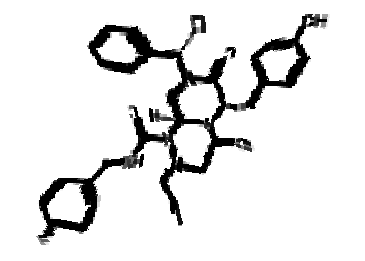 O=C1[C@H](Cc2ccc(O)cc2)N2C(=O)CN(CI)N(C(=O)NCc3ccc(F)cc3)[C@H]2CN1[C@@H](Cl)c1ccccc1